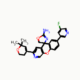 CC1(C)C=C(c2cc3c(cn2)Oc2ccc(-c4cncc(F)c4)cc2C32COC(N)=N2)CCO1